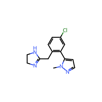 Cn1nccc1-c1cc(Cl)ccc1CC1=NCCN1